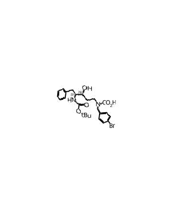 CC(C)(C)OC(=O)N[C@@H](Cc1ccccc1)[C@@H](O)CCN(Cc1ccc(Br)cc1)C(=O)O